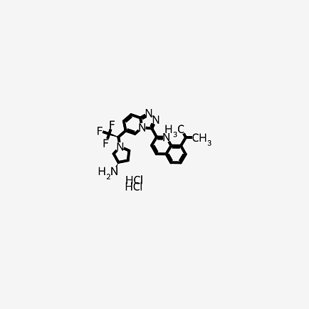 CC(C)c1cccc2ccc(-c3nnc4ccc([C@@H](N5CC[C@H](N)C5)C(F)(F)F)cn34)nc12.Cl.Cl